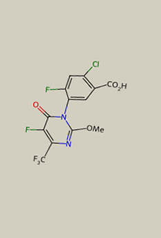 COc1nc(C(F)(F)F)c(F)c(=O)n1-c1cc(C(=O)O)c(Cl)cc1F